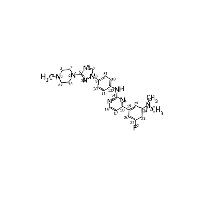 CN1CCN(c2ncn(-c3ccc(Nc4nccc(-c5cc(F)cc(N(C)C)c5)n4)cc3)n2)CC1